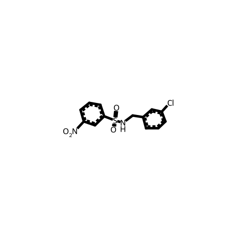 O=[N+]([O-])c1cccc(S(=O)(=O)NCc2cccc(Cl)c2)c1